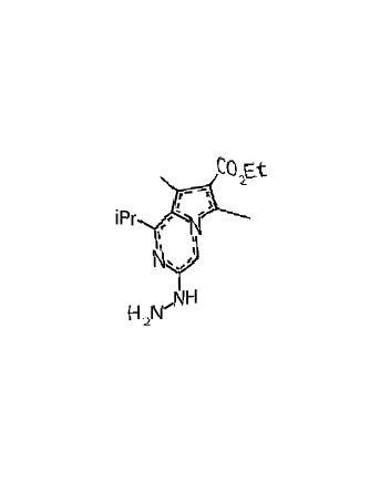 CCOC(=O)c1c(C)c2c(C(C)C)nc(NN)cn2c1C